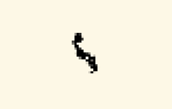 C(#Cc1ccc2ccc(Cc3ccc(-c4cccs4)cc3)cc2c1)Cc1ccccc1